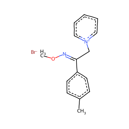 CON=C(C[n+]1ccccc1)c1ccc(C)cc1.[Br-]